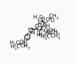 COC(=O)[C@H](COC(C)=O)NC(=O)[C@H](CO[Si](C)(C)C(C)(C)C)NC(=O)c1csc(N2CCN(C(=O)OC(C)(C)C)CC2)n1